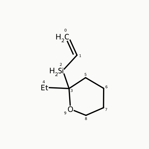 C=C[SiH2]C1(CC)CCCCO1